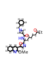 CCC(=O)CCCCC[C@H](NC(=O)C1CN(Cc2ccccc2)C1)c1ncc(-c2cc3ccccc3nc2OC)o1